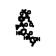 COCCCN1C(=O)C(C)(C)Oc2ccc(N(C(=O)[C@H]3CNC[C@@H](C(=O)NC(CO)CC(C)C)C3)C3CC3)cc21